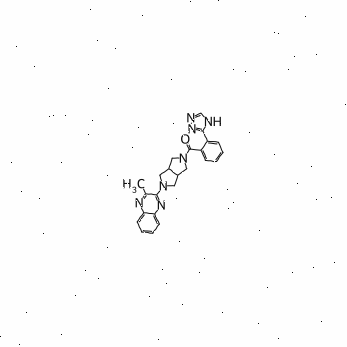 Cc1nc2ccccc2nc1N1CC2CN(C(=O)c3ccccc3-c3nnc[nH]3)CC2C1